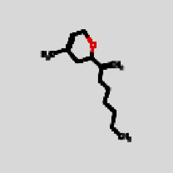 C=C(CCCCCC)C1CC(C)=CCO1